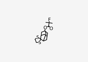 CC(C)(F)C(=O)OC12CC3CC(C1)C1(SCCS1)C(C3)C2